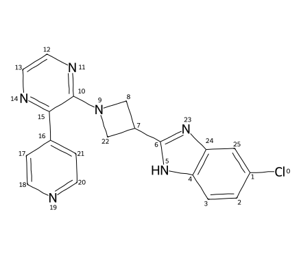 Clc1ccc2[nH]c(C3CN(c4nccnc4-c4ccncc4)C3)nc2c1